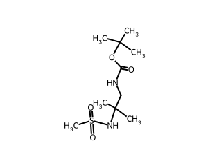 CC(C)(CNC(=O)OC(C)(C)C)NS(C)(=O)=O